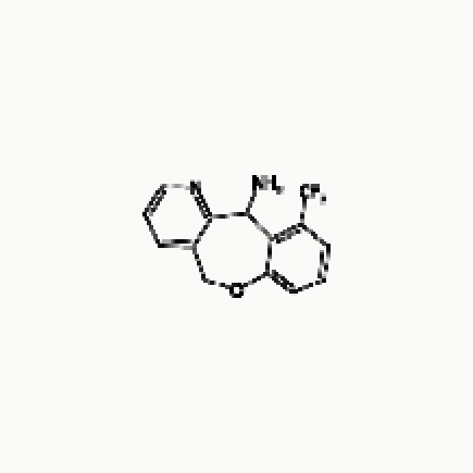 NC1c2ncccc2COc2cccc(C(F)(F)F)c21